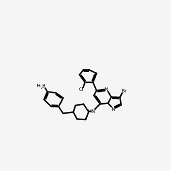 Bc1ccc(CC2CCC(NC3=CC(c4ccccc4Cl)=NC4=C(Br)C=NC34)CC2)cc1